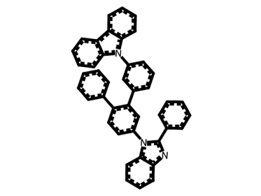 c1ccc(-c2ccc(-n3c(-c4ccccc4)nc4ccccc43)cc2-c2cccc(-n3c4ccccc4c4ccccc43)c2)cc1